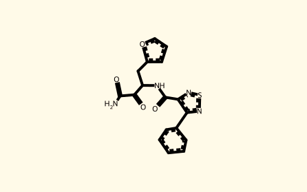 NC(=O)C(=O)C(Cc1ccco1)NC(=O)c1nsnc1-c1ccccc1